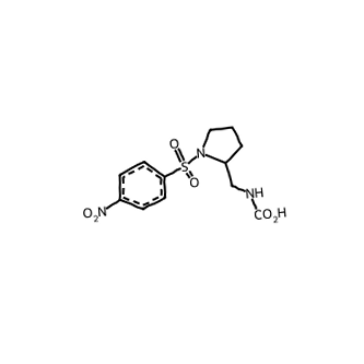 O=C(O)NCC1CCCN1S(=O)(=O)c1ccc([N+](=O)[O-])cc1